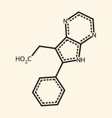 O=C(O)Cc1c(-c2ccccc2)[nH]c2nccnc12